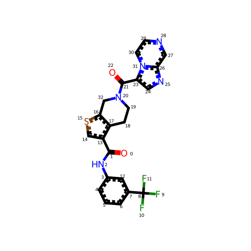 O=C(Nc1cccc(C(F)(F)F)c1)c1csc2c1CCN(C(=O)c1cnc3cnccn13)C2